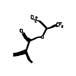 C=C(C)C(=O)OC(C(F)(F)F)C(Cl)(Cl)Cl